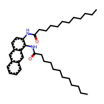 CCCCCCCCCCCC(=O)Nc1ccc2cc3ccccc3cc2c1NC(=O)CCCCCCCCCCC